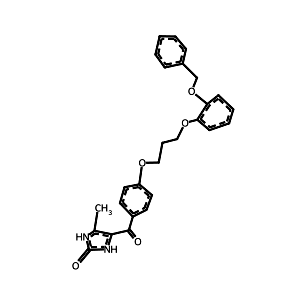 Cc1[nH]c(=O)[nH]c1C(=O)c1ccc(OCCCOc2ccccc2OCc2ccccc2)cc1